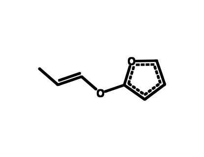 CC=COc1ccco1